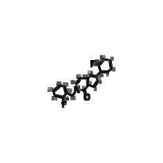 O=c1c2ccc(-c3ccccc3F)cc2ccn1Cc1ccccc1F